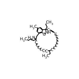 CCCCC1(N)CCCCCCC(CC)CCCCCCC/C=C\CC2(CCC)NOc3c(cc(C)cc32)C1